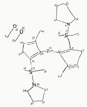 CC1=CCC([Si](C)(C)N2CCCC2)=[C]1[Zr+2][C]1=C([Si](C)(C)N2CCCC2)CC=C1C.C[O-].C[O-]